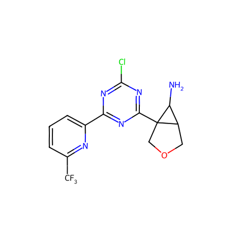 NC1C2COCC12c1nc(Cl)nc(-c2cccc(C(F)(F)F)n2)n1